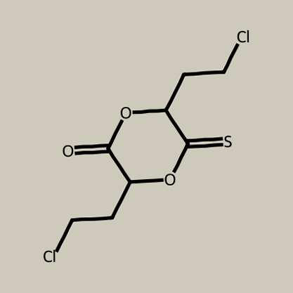 O=C1OC(CCCl)C(=S)OC1CCCl